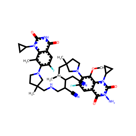 COc1c(N2CCC(C)(C[As](C)C(CC#N)C(C#N)CNCC3(C)CCN(c4c(F)cc5c(=O)[nH]c(=O)n(C6CC6)c5c4C)C3)C2)c(F)cc2c(=O)n(N)c(=O)n(C3CC3)c12